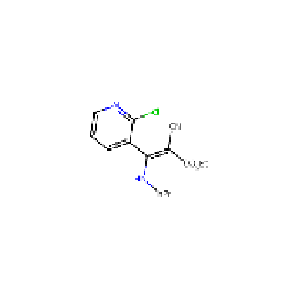 CCCN/C(=C(/C#N)C(=O)OCC)c1cccnc1Cl